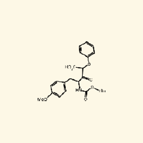 COc1ccc(CC(NC(=O)OC(C)(C)C)C(=O)C(Oc2ccccc2)C(=O)O)cc1